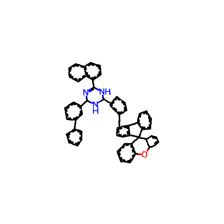 C1=CC2Oc3ccccc3C3(c4ccccc4-c4c(-c5cccc(C6NC(c7cccc8ccccc78)=NC(c7cccc(-c8ccccc8)c7)N6)c5)cccc43)C2C=C1